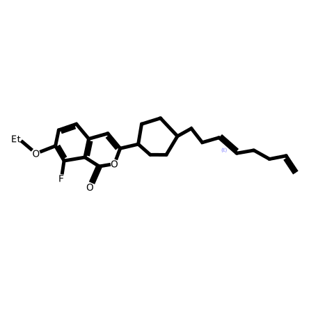 C=CCC/C=C/CCC1CCC(c2cc3ccc(OCC)c(F)c3c(=O)o2)CC1